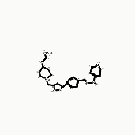 CCN(/N=C/c1ccc(C2=NOC(CN3CCC(OCC(=O)O)CC3)C2)cc1)c1ccncc1